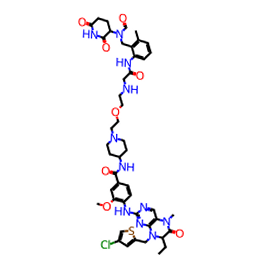 CCC1C(=O)N(C)c2cnc(Nc3ccc(C(=O)NC4CCN(CCOCCNCC(=O)Nc5cccc(C)c5CN(C=O)C5CCC(=O)NC5=O)CC4)cc3OC)nc2N1Cc1cc(Cl)cs1